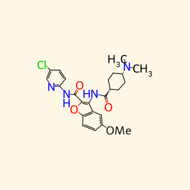 COc1ccc2oc(C(=O)Nc3ccc(Cl)cn3)c(NC(=O)[C@H]3CC[C@H](N(C)C)CC3)c2c1